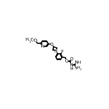 COCc1ccc(OC2CN(c3cccc(COC(=O)NC(=N)N)c3F)C2)cn1